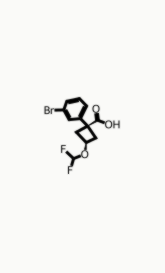 O=C(O)[C@]1(c2cccc(Br)c2)C[C@H](OC(F)F)C1